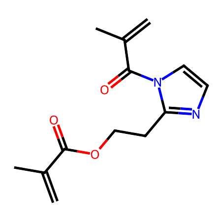 C=C(C)C(=O)OCCc1nccn1C(=O)C(=C)C